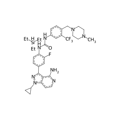 CC[SiH](CC)CC.CN1CCN(Cc2ccc(NC(=O)Nc3ccc(-c4nn(C5CC5)c5ccnc(N)c45)cc3F)cc2C(F)(F)F)CC1